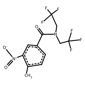 Cc1ccc(C(=O)N(CC(F)(F)F)CC(F)(F)F)cc1[N+](=O)[O-]